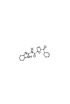 O=C(Nc1nc2ccccc2[nH]1)c1ccc(C(=O)c2ccccc2)o1